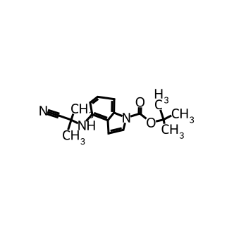 CC(C)(C#N)Nc1cccc2c1ccn2C(=O)OC(C)(C)C